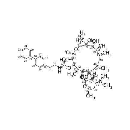 CC[C@H]1OC(=O)[C@H](C)[C@@H](OC(=O)NCCc2ccc(-c3ccccc3)cc2)[C@H](C)[C@@H](O[C@@H]2O[C@H](C)C[C@H](N(C)C)[C@H]2O)[C@](C)(O)C[C@@H](C)CN(C)[C@H](C)[C@@H](O)[C@]1(C)O